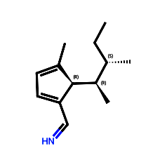 CC[C@H](C)[C@@H](C)[C@@H]1C(C)=CC=C1C=N